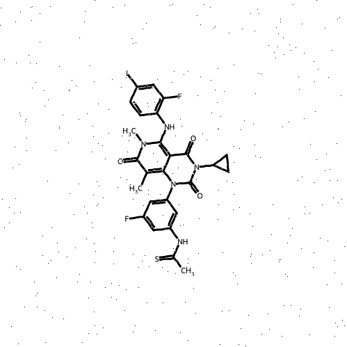 CC(=S)Nc1cc(F)cc(-n2c(=O)n(C3CC3)c(=O)c3c(Nc4ccc(I)cc4F)n(C)c(=O)c(C)c32)c1